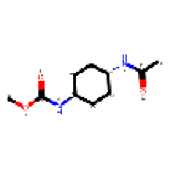 COC(=O)N[C@H]1CC[C@H](NC(C)=O)CC1